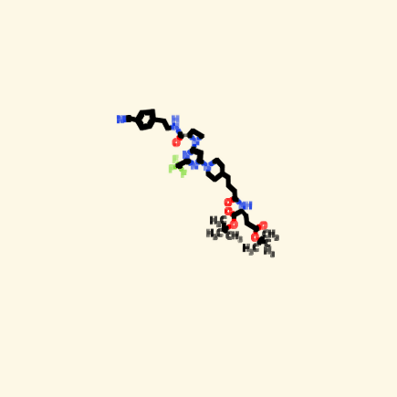 CC(C)(C)OC(=O)CC[C@H](NC(=O)CCCC1CCN(c2cc(N3CC[C@H]3C(=O)NCCc3ccc(C#N)cc3)nc(C(F)(F)F)n2)CC1)C(=O)OC(C)(C)C